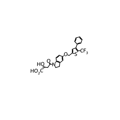 O=C(O)[C@@H](O)CC(=O)N1CCc2cc(OCc3cc(-c4ccccc4)c(C(F)(F)F)s3)ccc21